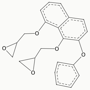 c1ccc(Oc2ccc3cccc(OCC4CO4)c3c2OCC2CO2)cc1